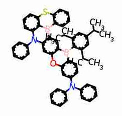 CC(C)c1cc(C(C)C)c(B2c3ccc(N(c4ccccc4)c4ccccc4)cc3Oc3cc4c(cc32)B2c3ccccc3Sc3cccc(c32)N4c2ccccc2)c(C(C)C)c1